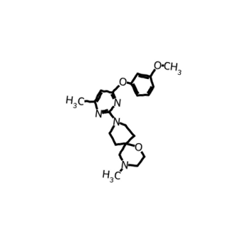 COc1cccc(Oc2cc(C)nc(N3CCC4(CC3)CN(C)CCO4)n2)c1